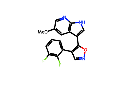 COc1cnc2[nH]cc(-c3oncc3-c3cccc(F)c3F)c2c1